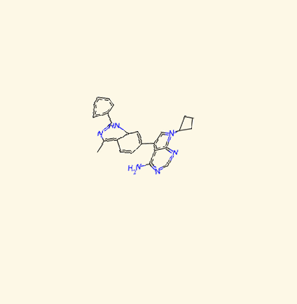 CC1=C2C=CC(c3cn(C4CCC4)c4ncnc(N)c34)=CC2NC(c2ccccc2)=N1